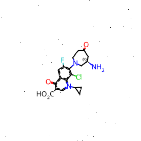 N[C@@H]1CC(=O)CCN(c2c(F)cc3c(=O)c(C(=O)O)cn(C4CC4)c3c2Cl)C1